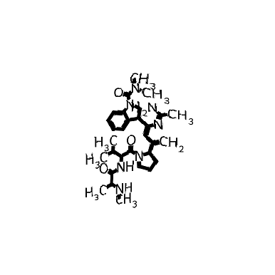 C=C(/C=C(\N=C(\C)N)C1CN(C(=O)N(C)C)c2ccccc21)C1CCCN1C(=O)C(NC(=O)C(C)NC)C(C)C